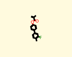 C=C(C)C(=O)Oc1ccc(-c2ccc(C)c(F)c2)cc1